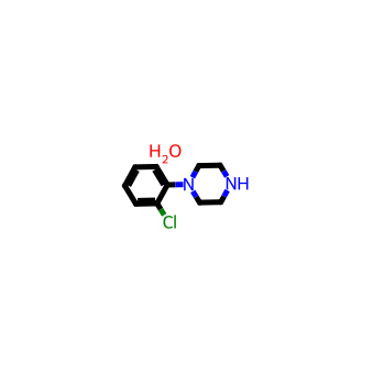 Clc1ccccc1N1CCNCC1.O